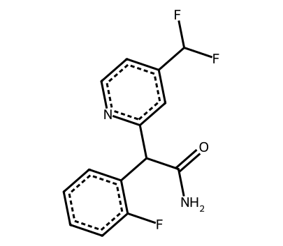 NC(=O)C(c1cc(C(F)F)ccn1)c1ccccc1F